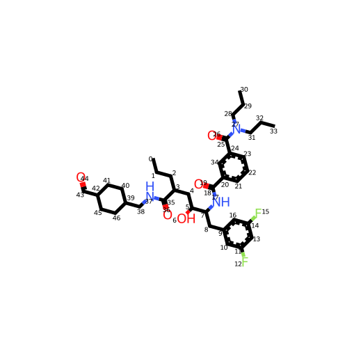 CCCC(CC(O)C(Cc1cc(F)cc(F)c1)NC(=O)c1cccc(C(=O)N(CCC)CCC)c1)C(=O)NCC1CCC(C=O)CC1